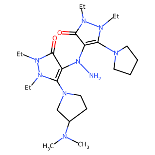 CCn1c(N2CCCC2)c(N(N)c2c(N3CCC(N(C)C)C3)n(CC)n(CC)c2=O)c(=O)n1CC